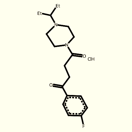 CCC(CC)N1CCN(C(=O)CCC(=O)c2ccc(F)cc2)CC1.Cl